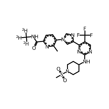 [2H]C([2H])([2H])NC(=O)c1ccc(-n2cnc(-c3nc(NC4CCN(S(C)(=O)=O)CC4)ncc3C(F)(F)F)c2)c(C)n1